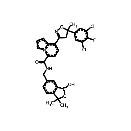 CC1(C)OB(O)c2cc(CNC(=O)c3ccc(C4=NOC(C)(c5cc(Cl)c(F)c(Cl)c5)C4)c4cccn34)ccc21